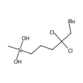 CCC(C)CC(Cl)(Cl)CCC[Si](C)(O)O